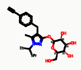 C#Cc1ccc(Cc2c(O[C@@H]3O[C@H](CO)[C@@H](O)[C@H](O)[C@H]3O)nn(C(CC)CCC)c2C)cc1